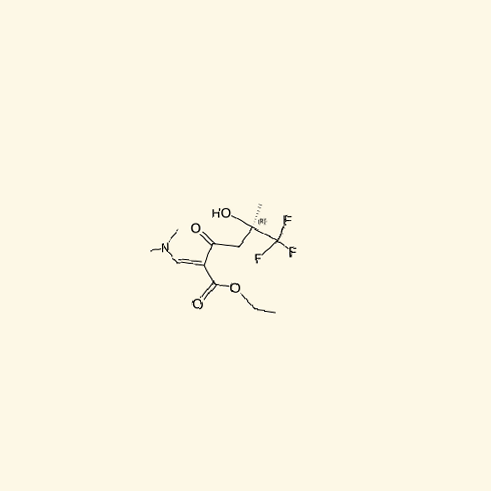 CCOC(=O)C(=CN(C)C)C(=O)C[C@@](C)(O)C(F)(F)F